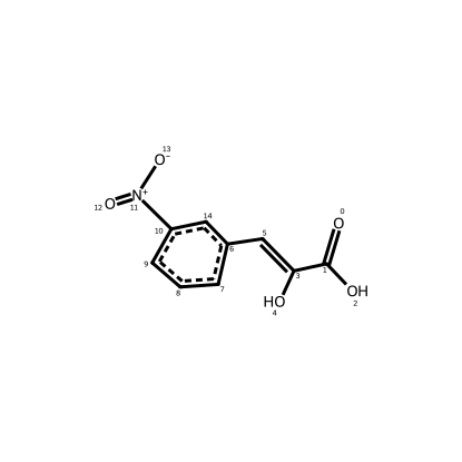 O=C(O)C(O)=Cc1cccc([N+](=O)[O-])c1